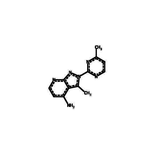 Cc1ccnc(-n2nc3nccc(N)c3c2C)n1